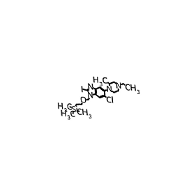 CCN1CCN(c2cc3nc(I)n(COCC[Si](C)(C)C)c3cc2Cl)C(C)C1